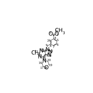 COC(=O)c1cccc(Cn2nnc3c(N4CCOCC4)nc(Cl)nc32)c1